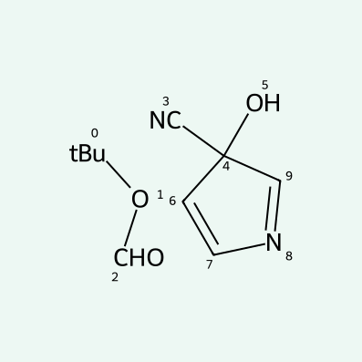 CC(C)(C)OC=O.N#CC1(O)C=CN=C1